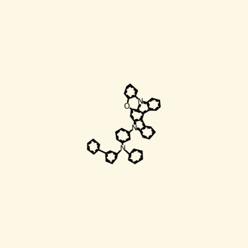 c1ccc(-c2cccc(N(c3ccccc3)c3cccc(-n4c5ccccc5c5c6c7ccccc7n7c6c(cc54)Oc4ccccc4-7)c3)c2)cc1